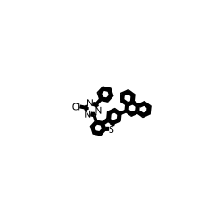 Clc1nc(-c2ccccc2)nc(-c2cccc3sc4cc(-c5cc6ccccc6c6ccccc56)ccc4c23)n1